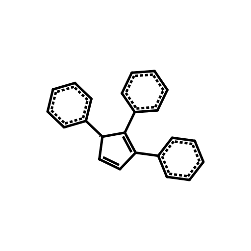 C1=CC(c2ccccc2)=C(c2ccccc2)[C]1c1ccccc1